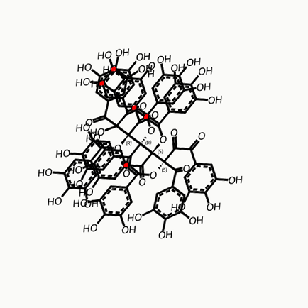 O=C(O[C@](C(=O)C(=O)c1cc(O)c(O)c(O)c1)(C(=O)c1cc(O)c(O)c(O)c1)[C@](OC(=O)c1cc(O)c(O)c(O)c1)(C(=O)c1cc(O)c(O)c(O)c1)[C@@](OC(=O)c1cc(O)c(O)c(O)c1)(C(=O)c1cc(O)c(O)c(O)c1)[C@@](OC(=O)c1cc(O)c(O)c(O)c1)(C(=O)c1cc(O)c(O)c(O)c1)C(O)(C(=O)c1cc(O)c(O)c(O)c1)C(=O)c1cc(O)c(O)c(O)c1)c1cc(O)c(O)c(O)c1